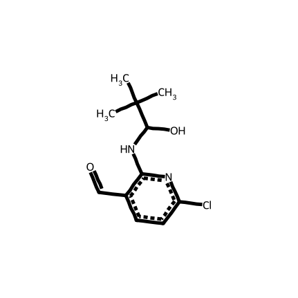 CC(C)(C)C(O)Nc1nc(Cl)ccc1C=O